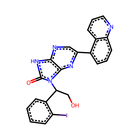 O=c1[nH]c2ncc(-c3cccc4ncccc34)nc2n1C(CO)c1ccccc1I